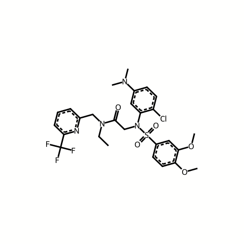 CCN(Cc1cccc(C(F)(F)F)n1)C(=O)CN(c1cc(N(C)C)ccc1Cl)S(=O)(=O)c1ccc(OC)c(OC)c1